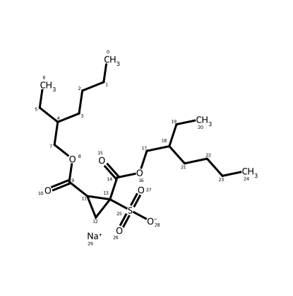 CCCCC(CC)COC(=O)C1CC1(C(=O)OCC(CC)CCCC)S(=O)(=O)[O-].[Na+]